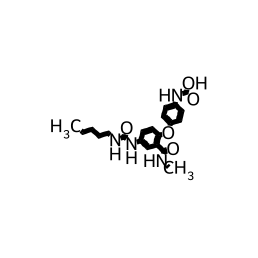 CCCCCNC(=O)Nc1ccc(Oc2ccc(NC(=O)O)cc2)c(C(=O)NC)c1